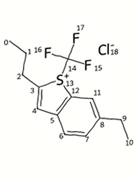 CCCc1cc2ccc(CC)cc2[s+]1C(F)(F)F.[Cl-]